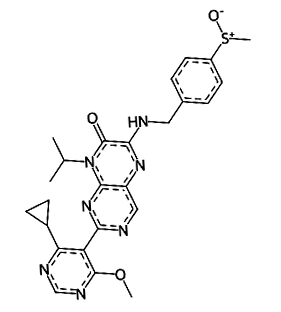 COc1ncnc(C2CC2)c1-c1ncc2nc(NCc3ccc([S+](C)[O-])cc3)c(=O)n(C(C)C)c2n1